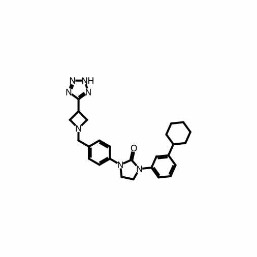 O=C1N(c2ccc(CN3CC(c4nn[nH]n4)C3)cc2)CCN1c1cccc(C2CCCCC2)c1